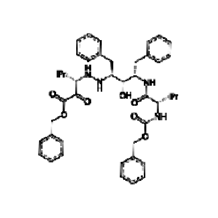 CC(C)[C@H](NC(=O)OCc1ccccc1)C(=O)N[C@@H](Cc1ccccc1)C(O)[C@H](Cc1ccccc1)NN[C@H](C(=O)C(=O)OCc1ccccc1)C(C)C